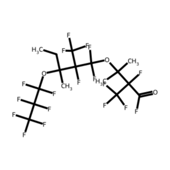 CCC(C)(OC(F)(F)C(F)(F)C(F)(F)F)C(F)(C(F)(F)F)C(F)(F)OC(C)(C)C(F)(C(=O)F)C(F)(F)F